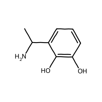 CC(N)c1cccc(O)c1O